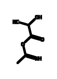 CC(=N)OC(=O)C(O)C#N